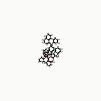 c1ccc(-c2ccccc2N(c2ccccc2)c2cccc3c2C2(c4ccccc4-c4cc(N(c5ccccc5)c5cccc6ccccc56)ccc42)c2c-3oc3ccccc23)cc1